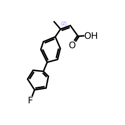 C/C(=C/C(=O)O)c1ccc(-c2ccc(F)cc2)cc1